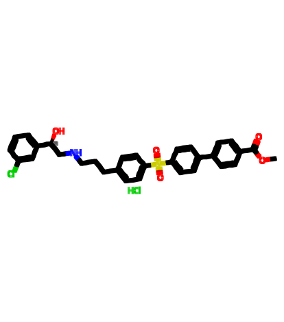 COC(=O)c1ccc(-c2ccc(S(=O)(=O)c3ccc(CCCNC[C@H](O)c4cccc(Cl)c4)cc3)cc2)cc1.Cl